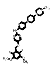 COc1cc(OC)c(F)c(COc2cnc(Nc3ccc(N4CCC(N5CCN(C)CC5)CC4)cn3)nc2)c1F